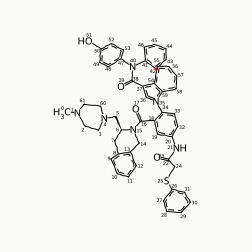 CN1CCN(C[C@@H]2Cc3ccccc3CN2C(=O)c2cc(NC(=O)CSc3ccccc3)ccc2-n2cc(C(=O)N(c3ccccc3)c3ccc(O)cc3)c3ccccc32)CC1